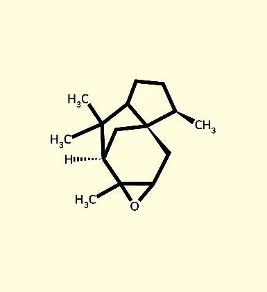 C[C@@H]1CCC2C(C)(C)[C@H]3C[C@]21CC1OC13C